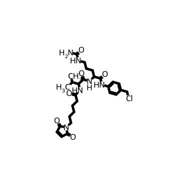 CC(C)C(NC(=O)CCCCCN1C(=O)C=CC1=O)C(=O)NC(CCCNC(N)=O)C(=O)Nc1ccc(CCl)cc1